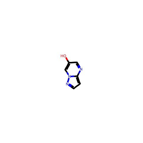 Oc1cnc2ccnn2c1